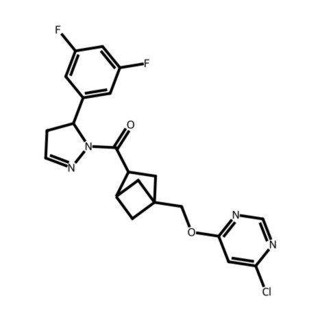 O=C(C1CC2(COc3cc(Cl)ncn3)CC1C2)N1N=CCC1c1cc(F)cc(F)c1